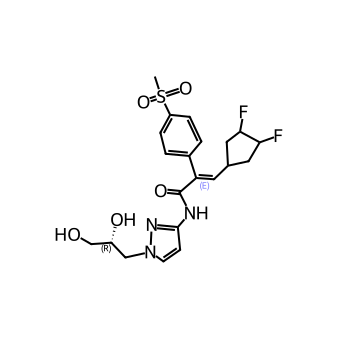 CS(=O)(=O)c1ccc(/C(=C\C2CC(F)C(F)C2)C(=O)Nc2ccn(C[C@@H](O)CO)n2)cc1